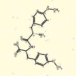 COc1ccc(C[C@H](NC(=O)[C@@H](N)Cc2ccc(OC)cc2)C(=O)O)cc1